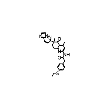 CCSc1ccc(CC(=O)Nc2cc(C)c3c(n2)CCC(C)(c2ccc4nccn4n2)C3=O)cc1